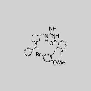 COc1ccc(Br)cc1CCc1c(F)cccc1C(=O)NC(=N)NCC1CCCN(Cc2ccccc2)C1